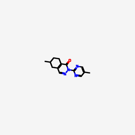 Cc1cnc(-n2ncc3c(c2=O)CCC(C)C3)nc1